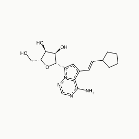 Nc1ncnn2c([C@@H]3O[C@H](CO)[C@@H](O)[C@H]3O)cc(/C=C/C3CCCC3)c12